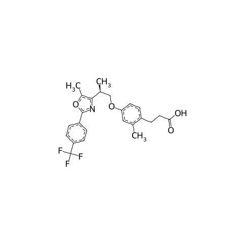 Cc1cc(OC[C@H](C)c2nc(-c3ccc(C(F)(F)F)cc3)oc2C)ccc1CCC(=O)O